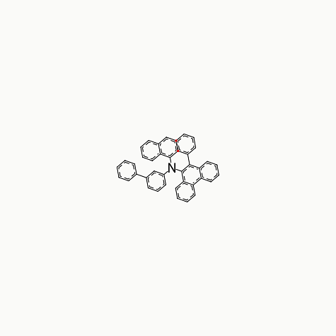 c1ccc(-c2cccc(N(c3cccc4ccccc34)c3c(-c4ccccc4)c4ccccc4c4ccccc34)c2)cc1